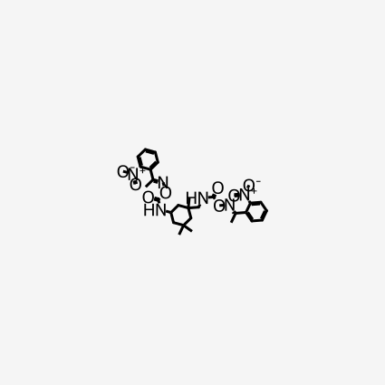 C/C(=N\OC(=O)NCC1(C)CC(NC(=O)O/N=C(\C)c2ccccc2[N+](=O)[O-])CC(C)(C)C1)c1ccccc1[N+](=O)[O-]